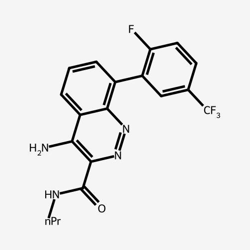 CCCNC(=O)c1nnc2c(-c3cc(C(F)(F)F)ccc3F)cccc2c1N